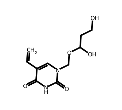 C=Cc1cn(COC(O)CCO)c(=O)[nH]c1=O